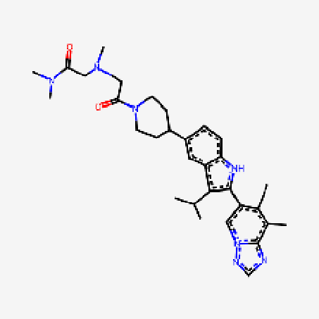 Cc1c(-c2[nH]c3ccc(C4CCN(C(=O)CN(C)CC(=O)N(C)C)CC4)cc3c2C(C)C)cn2ncnc2c1C